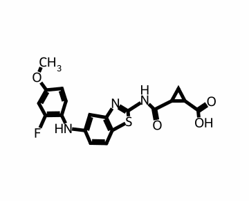 COc1ccc(Nc2ccc3sc(NC(=O)C4CC4C(=O)O)nc3c2)c(F)c1